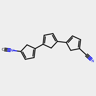 [C-]#[N+]C1=CC=C(C2=CC=C(C3=CC=C(C#N)C3)C2)C1